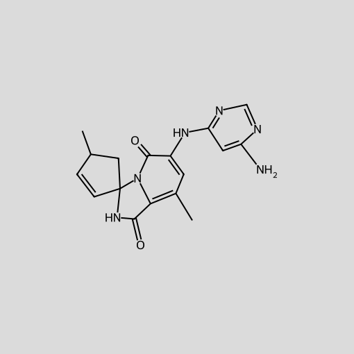 Cc1cc(Nc2cc(N)ncn2)c(=O)n2c1C(=O)NC21C=CC(C)C1